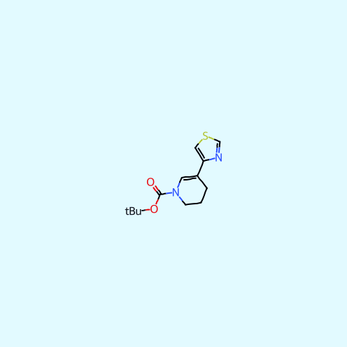 CC(C)(C)OC(=O)N1C=C(c2cscn2)CCC1